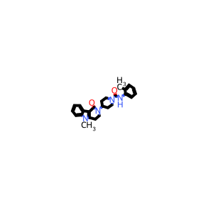 Cc1ccccc1NC(=O)N1CCC(N2CCc3c(c4ccccc4n3C)C2=O)CC1